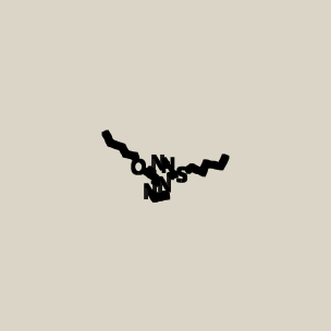 CCCCCOc1nnc(SCCCCC)n2ccnc12